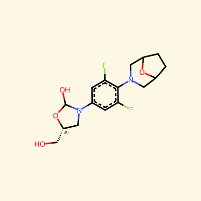 OC[C@H]1CN(c2cc(F)c(N3CC4CCC(C3)O4)c(F)c2)C(O)O1